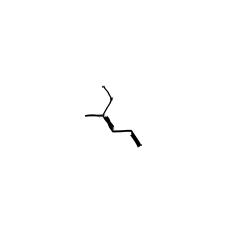 C=C/C=C(/C)CCl